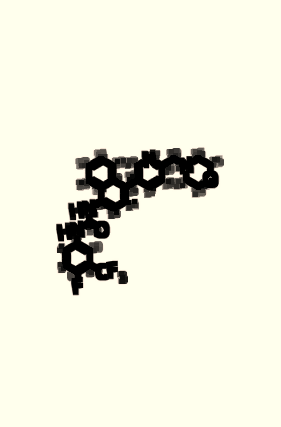 O=C(Nc1ccc(F)c(C(F)(F)F)c1)Nc1ccc(-c2ccc(CN3CCOCC3)nc2)c2ccccc12